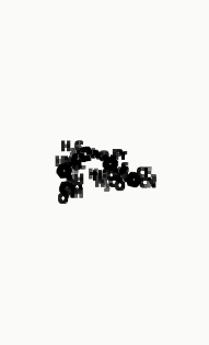 Cc1cc(OCCN2C[C@@H](C)N(CC(=O)Nc3cccc(NC4CCC(=O)NC4=O)c3)[C@@H](C)C2)c(C(C)C)cc1N1C(=S)N(c2ccc(C#N)c(C(F)(F)F)c2)C(=O)C1(C)C